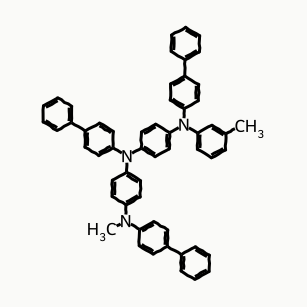 Cc1cccc(N(c2ccc(-c3ccccc3)cc2)c2ccc(N(c3ccc(-c4ccccc4)cc3)c3ccc(N(C)c4ccc(-c5ccccc5)cc4)cc3)cc2)c1